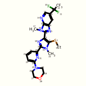 CCSc1c(-c2nc3cc(C(F)(F)C(F)(F)F)cnc3n2C)nc(-c2cccc(N3CCOCC3)n2)n1C